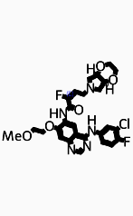 COCCOc1cc2ncnc(Nc3ccc(F)c(Cl)c3)c2cc1NC(=O)/C(F)=C\CN1C[C@@H]2OCCO[C@@H]2C1